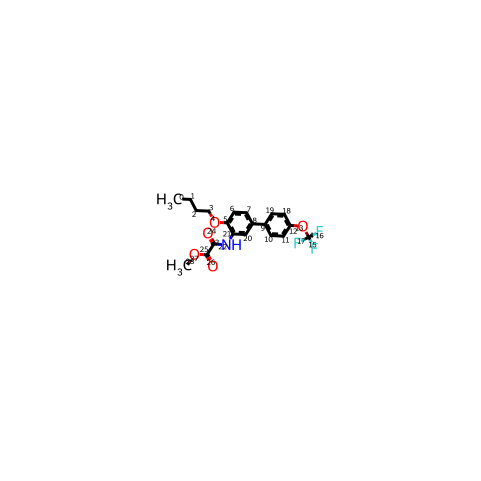 CCCCOc1ccc(-c2ccc(OC(F)(F)F)cc2)cc1NC(=O)C(=O)OC